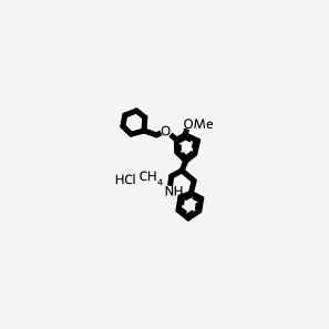 C.COc1ccc(C(CN)Cc2ccccc2)cc1OCC1CCCCC1.Cl